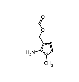 Cc1csc(COC=O)c1N